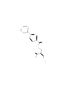 CN/C=C(/CNC(=O)c1ccc(C2CCNCC2)cc1)C(C)=N